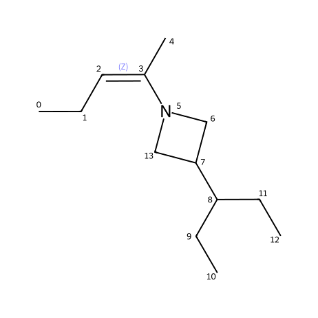 CC/C=C(/C)N1CC(C(CC)CC)C1